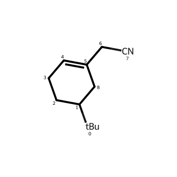 CC(C)(C)C1CCC=C(CC#N)C1